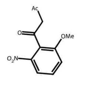 COc1cccc([N+](=O)[O-])c1C(=O)CC(C)=O